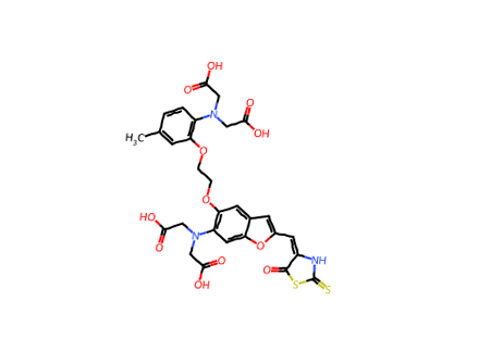 Cc1ccc(N(CC(=O)O)CC(=O)O)c(OCCOc2cc3cc(C=C4NC(=S)SC4=O)oc3cc2N(CC(=O)O)CC(=O)O)c1